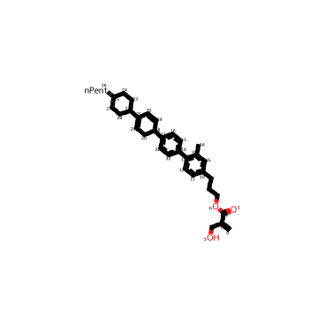 C=C(CO)C(=O)OCCCc1ccc(-c2ccc(C3C=CC(C4CCC(CCCCC)CC4)=CC3)cc2)c(C)c1